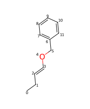 CCC=COCc1ccccc1